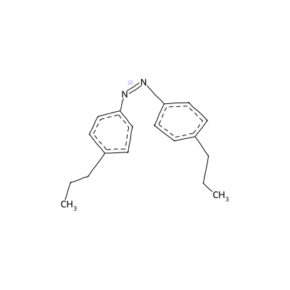 CCCc1ccc(/N=N\c2ccc(CCC)cc2)cc1